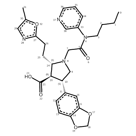 CCCCN(C(=O)CN1C[C@H](c2ccc3c(c2)OCO3)[C@@H](C(=O)O)[C@@H]1CCc1ncc(C)o1)c1cccnc1